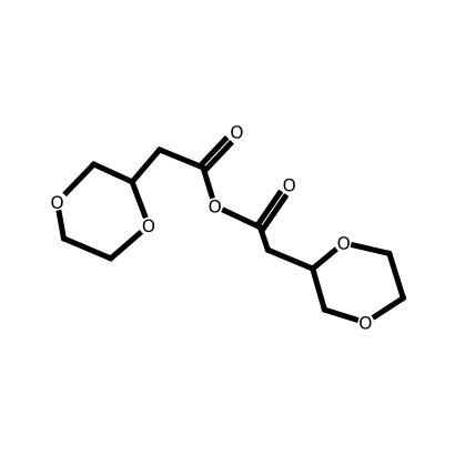 O=C(CC1COCCO1)OC(=O)CC1COCCO1